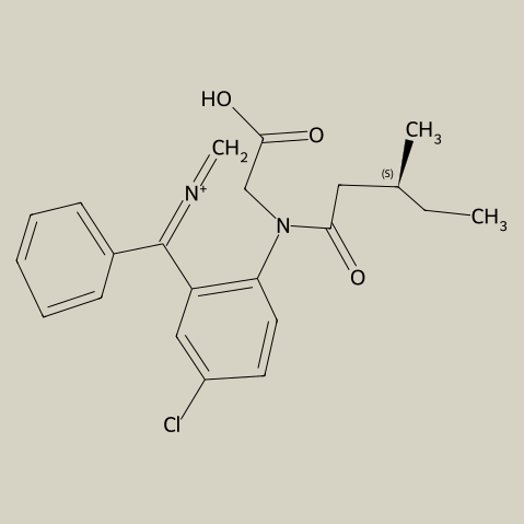 C=[N+]=C(c1ccccc1)c1cc(Cl)ccc1N(CC(=O)O)C(=O)C[C@@H](C)CC